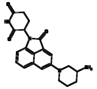 NC1CCCN(c2cc3c4c(cccc4c2)N(C2CCC(=O)NC2=O)C3=O)C1